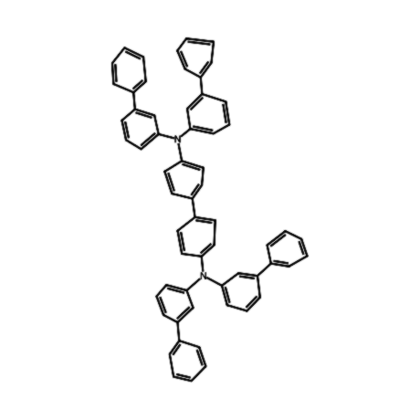 c1ccc(-c2cccc(N(c3ccc(-c4ccc(N(c5cccc(-c6ccccc6)c5)c5cccc(-c6ccccc6)c5)cc4)cc3)c3cccc(-c4ccccc4)c3)c2)cc1